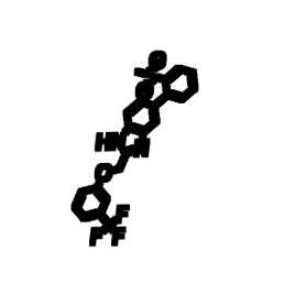 CS(=O)(=O)c1ccccc1-c1ccc2[nH]c(COc3cccc(C(F)(F)F)c3)nc2c1